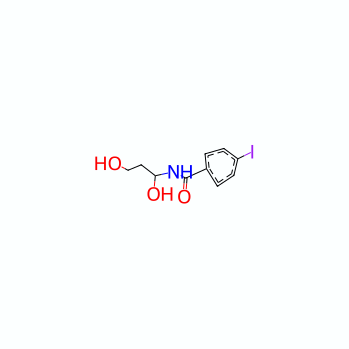 O=C(NC(O)CCO)c1ccc(I)cc1